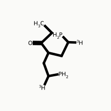 [3H]C(P)CC(CC([3H])P)C(=O)CC